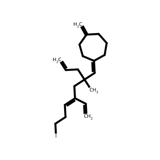 C=CCC(C)(/C=C1/CCCC(=C)CC1)C/C(C=C)=C/CCI